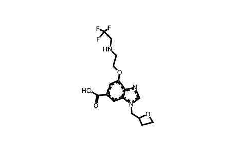 O=C(O)c1cc(OCCNCC(F)(F)F)c2ncn(CC3CCO3)c2c1